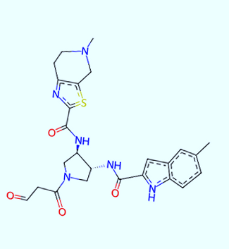 Cc1ccc2[nH]c(C(=O)N[C@@H]3CN(C(=O)CC=O)C[C@H]3NC(=O)c3nc4c(s3)CN(C)CC4)cc2c1